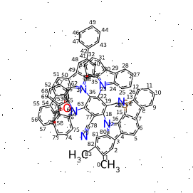 Cc1cc2c3ccc4c5ccccc5sc4c3n(-c3c(C#N)c(-n4c5ccccc5c5ccccc54)c(-n4c5ccc(-c6ccccc6)cc5c5ccc6c7ccccc7oc6c54)c(-n4c5ccccc5c5ccccc54)c3C#N)c2cc1C